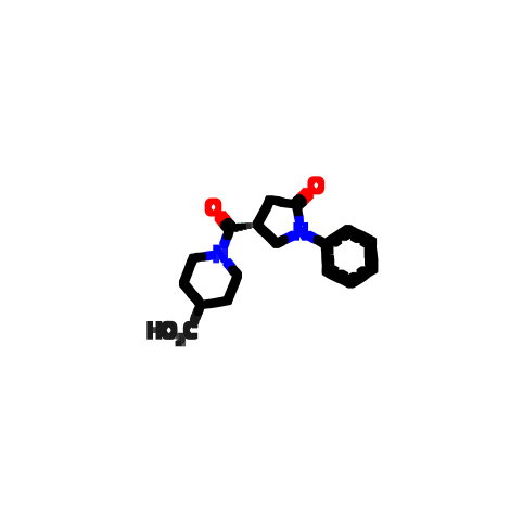 O=C(O)C1CCN(C(=O)[C@@H]2CC(=O)N(c3ccccc3)C2)CC1